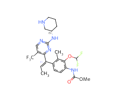 C/C=C(\c1ccc(NC(=O)OC)c(OC(F)F)c1C)c1nc(N[C@H]2CCCNC2)ncc1C(F)(F)F